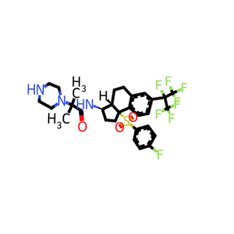 CC(C)(C(=O)N[C@@H]1CC[C@@]2(S(=O)(=O)c3ccc(F)cc3)c3ccc(C(F)(C(F)(F)F)C(F)(F)F)cc3CC[C@@H]12)N1CCNCC1